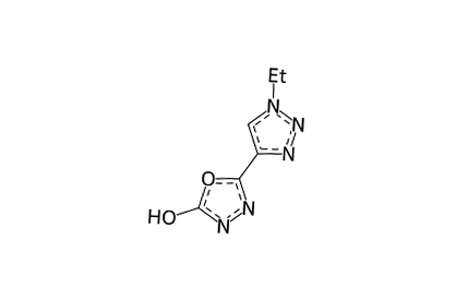 CCn1cc(-c2nnc(O)o2)nn1